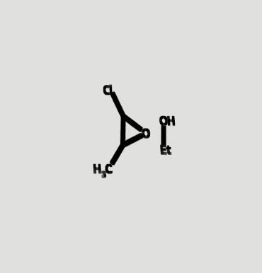 CC1OC1Cl.CCO